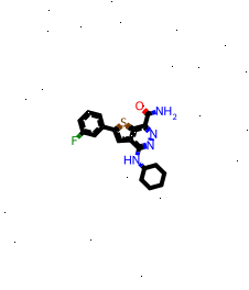 NC(=O)c1nnc(NC2CCCCC2)c2cc(-c3cccc(F)c3)sc12